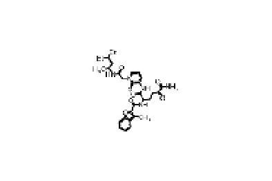 CCC(CC)CC(C)NC(=O)Cn1cccc(NC(=O)C(CCC(=O)C(N)=O)NC(=O)c2oc3ccccc3c2C)c1=O